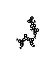 CC(C)c1c2ccc3c4c(ccc(c24)c2c4cccc5c6ccccc6n(c12)c54)c(C(C)C)c1c3c2cccc3c4cc(CC(C)(C)c5cc6c7cc(C(C)(C)C)ccc7n7c8cc9c(cc8c(c5)c67)c5ccccc5c5cc6c7cc(C(C)(C)C)cc8c%10cc(C(C)(C)C)ccc%10n(c6cc59)c87)ccc4n1c32